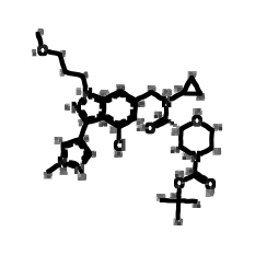 COCCCn1nc(-c2cnn(C)c2)c2c(Cl)cc(CN(C(=O)[C@H]3CN(C(=O)OC(C)(C)C)CCO3)C3CC3)cc21